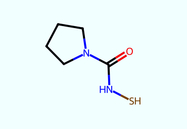 O=C(NS)N1CCCC1